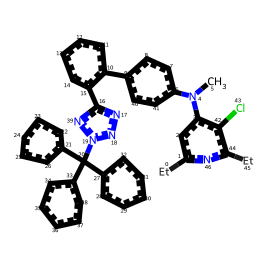 CCc1cc(N(C)c2ccc(-c3ccccc3-c3nnn(C(c4ccccc4)(c4ccccc4)c4ccccc4)n3)cc2)c(Cl)c(CC)n1